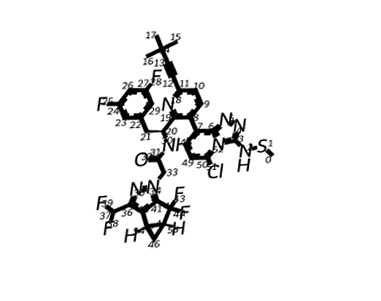 CSNc1nnc2c(-c3ccc(C#CC(C)(C)C)nc3[C@H](Cc3cc(F)cc(F)c3)NC(=O)Cn3nc(C(F)F)c4c3C(F)(F)[C@@H]3C[C@H]43)ccc(Cl)n12